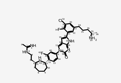 CC(=N)NCC[C@@H]1CCCC[C@@H](c2ccc(-n3cc4cc(-c5cc(CCC[C@H](C)N)cc(Cl)c5F)[nH]c4nc3=O)cc2F)N1